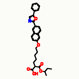 CCC(C)OC(=O)C(CCCCCOc1ccc2cc(-c3ncc(-c4ccccc4)o3)ccc2c1)C(=O)O